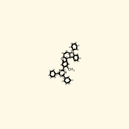 Cc1cc2c3c(oc2cc1-c1nc(-c2ccccc2)nc(-c2ccccc2)n1)C=CC1C3c2ccccc2N1c1ccccc1